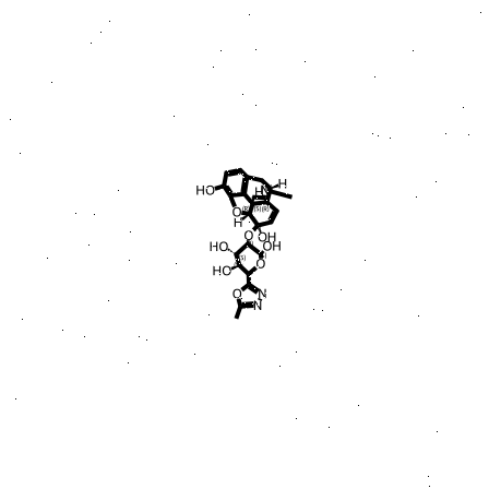 Cc1nnc(C2O[C@H](O)[C@H](O[C@]3(O)C=C[C@H]4[C@H]5Cc6ccc(O)c7c6[C@@]4(CCN5C)[C@H]3O7)[C@@H](O)[C@@H]2O)o1